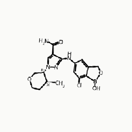 C[C@H]1CCOC[C@@H]1n1cc(C(N)=O)c(Nc2cc(Cl)c3c(c2)COB3O)n1